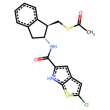 CC(=O)SC[C@@H]1c2ccccc2C[C@H]1NC(=O)c1cc2cc(Cl)sc2[nH]1